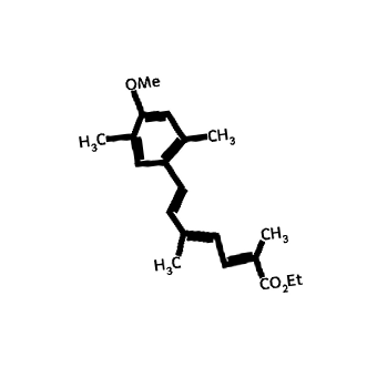 CCOC(=O)C(C)=CC=C(C)C=Cc1cc(C)c(OC)cc1C